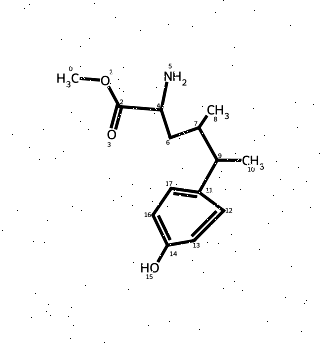 COC(=O)C(N)CC(C)C(C)c1ccc(O)cc1